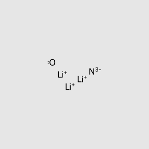 [Li+].[Li+].[Li+].[N-3].[O]